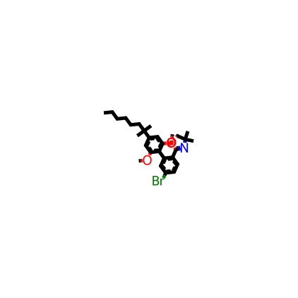 CCCCCCC(C)(C)c1cc(OC)c(-c2cc(Br)ccc2C2=NC(C)(C)CO2)c(OC)c1